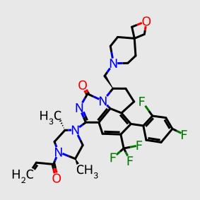 C=CC(=O)N1C[C@H](C)N(c2nc(=O)n3c4c(c(-c5ccc(F)cc5F)c(C(F)(F)F)cc24)CC[C@@H]3CN2CCC3(CC2)COC3)C[C@H]1C